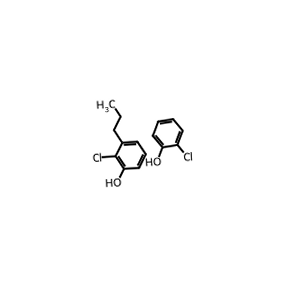 CCCc1cccc(O)c1Cl.Oc1ccccc1Cl